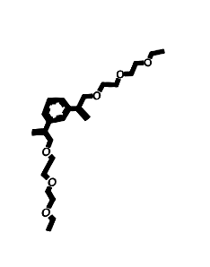 C=C(COCCOCCOCC)c1cccc(C(=C)COCCOCCOCC)c1